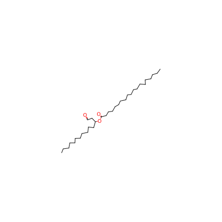 CCCCCCCCCCCCCCCCCCC(=O)OC(CC=O)CCCCCCCCCCC